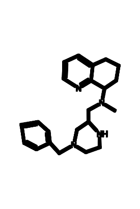 CN(CC1CN(Cc2ccccc2)CCN1)C1CCCc2cccnc21